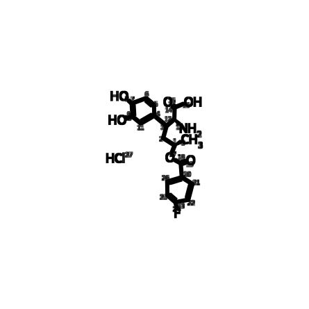 C[C@H](CC(c1ccc(O)c(O)c1)[C@H](N)C(=O)O)OC(=O)c1ccc(F)cc1.Cl